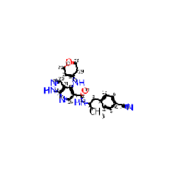 CC(Cc1ccc(C#N)cc1)NC(=O)c1cnc2[nH]ncc2c1NC1CCOCC1